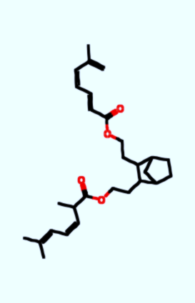 C=C(C)/C=C\C=C\C(=O)OCCC1C2CCC(C2)C1CCOC(=O)C(C)/C=C\C=C(C)C